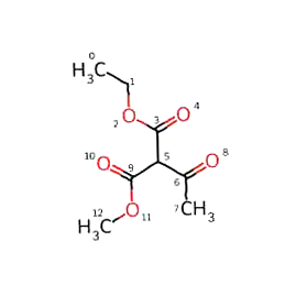 CCOC(=O)C(C(C)=O)C(=O)OC